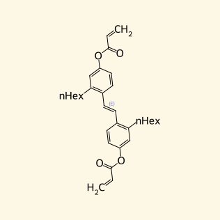 C=CC(=O)Oc1ccc(/C=C/c2ccc(OC(=O)C=C)cc2CCCCCC)c(CCCCCC)c1